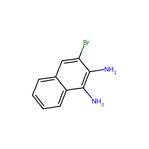 Nc1c(Br)cc2ccccc2c1N